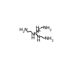 NCCNN(NCCN)NCCN